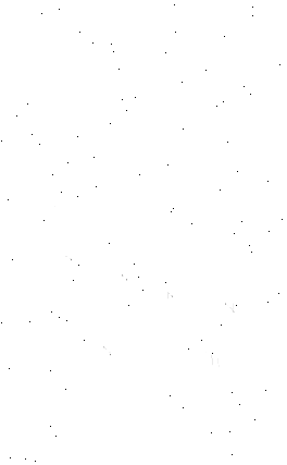 COc1cccc(Nc2cncc(-n3c(C)nc4ccccc43)n2)c1